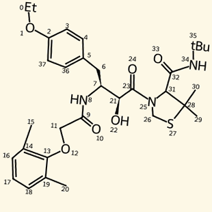 CCOc1ccc(C[C@H](NC(=O)COc2c(C)cccc2C)[C@H](O)C(=O)N2CSC(C)(C)C2C(=O)NC(C)(C)C)cc1